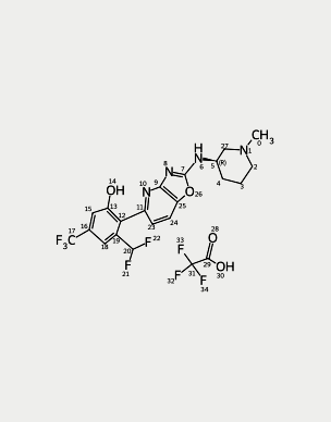 CN1CCC[C@@H](Nc2nc3nc(-c4c(O)cc(C(F)(F)F)cc4C(F)F)ccc3o2)C1.O=C(O)C(F)(F)F